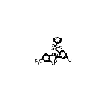 O=C(Nc1ccc(C(F)(F)F)cc1Cl)c1cc(Cl)ccc1NS(=O)(=O)c1ccccc1